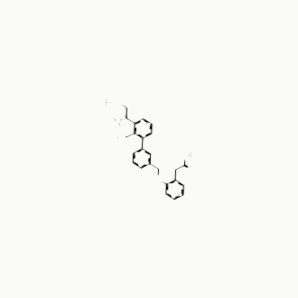 N[C@H](CO)c1cccc(-c2cccc(COc3ccccc3CC(=O)O)c2)c1Cl